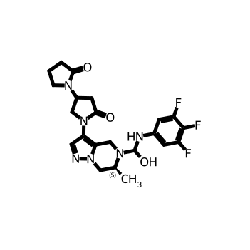 C[C@H]1Cn2ncc(N3CC(N4CCCC4=O)CC3=O)c2CN1C(O)Nc1cc(F)c(F)c(F)c1